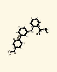 CNC(=O)c1ccccc1Cc1cccc(-c2ccc(C=O)cc2)c1